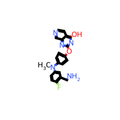 CN(c1ccc(Oc2nc(O)c3ccncc3n2)cc1)c1ccc(F)c(CN)c1